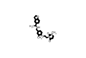 Cc1cc(CNC(C)c2ccc3c(c2)CCO3)ccc1OCCn1c(=O)ccn(C)c1=O